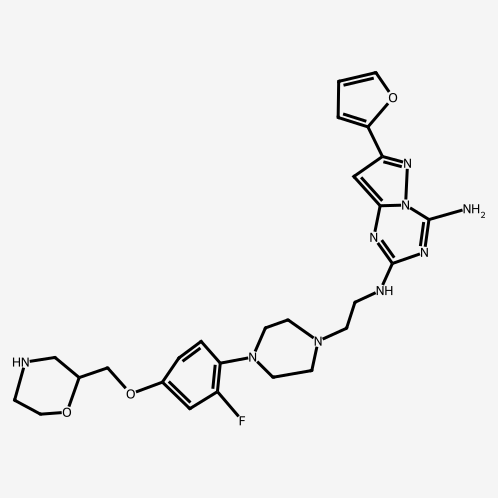 Nc1nc(NCCN2CCN(c3ccc(OCC4CNCCO4)cc3F)CC2)nc2cc(-c3ccco3)nn12